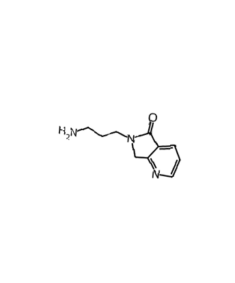 NCCCN1Cc2ncccc2C1=O